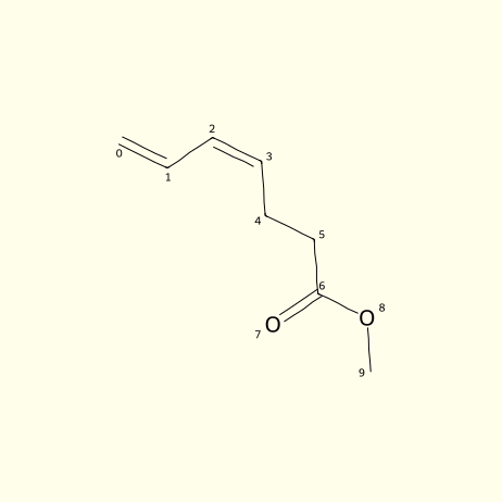 C=C/C=C\CCC(=O)OC